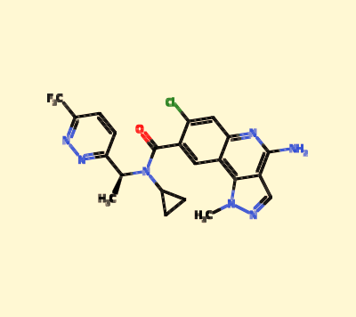 C[C@@H](c1ccc(C(F)(F)F)nn1)N(C(=O)c1cc2c(cc1Cl)nc(N)c1cnn(C)c12)C1CC1